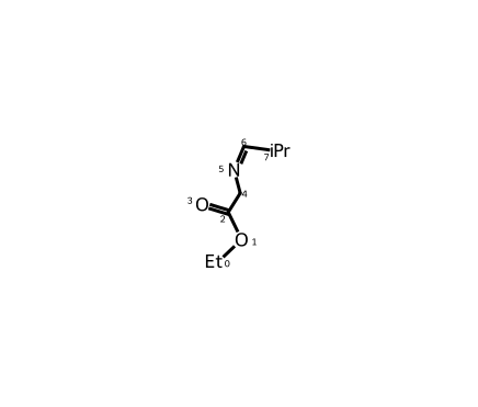 CCOC(=O)C/N=C\C(C)C